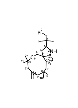 CC(C)CC(C)(C)C1CC2(CCC(C)(C)CNCC(C)(C)CC2C)C(=O)N1